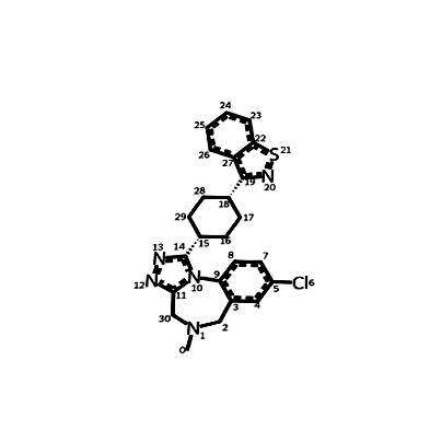 CN1Cc2cc(Cl)ccc2-n2c(nnc2[C@H]2CC[C@@H](c3nsc4ccccc43)CC2)C1